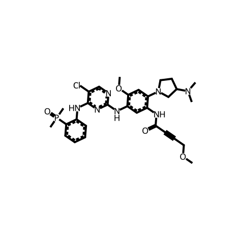 COCC#CC(=O)Nc1cc(Nc2ncc(Cl)c(Nc3ccccc3P(C)(C)=O)n2)c(OC)cc1N1CCC(N(C)C)C1